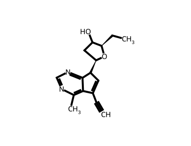 C#CC1=CC([C@H]2CC(O)[C@@H](CC)O2)c2ncnc(C)c21